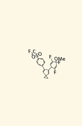 COC1(F)C=C(F)C(C2=CC3(C=C2c2ccc(S(=O)(=O)C(F)(F)F)cc2)CC3)C=C1F